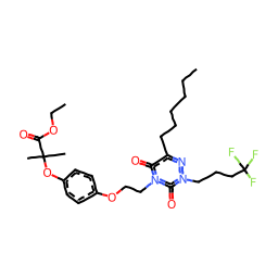 CCCCCCc1nn(CCCC(F)(F)F)c(=O)n(CCOc2ccc(OC(C)(C)C(=O)OCC)cc2)c1=O